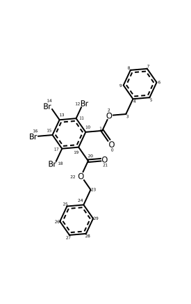 O=C(OCc1ccccc1)c1c(Br)c(Br)c(Br)c(Br)c1C(=O)OCc1ccccc1